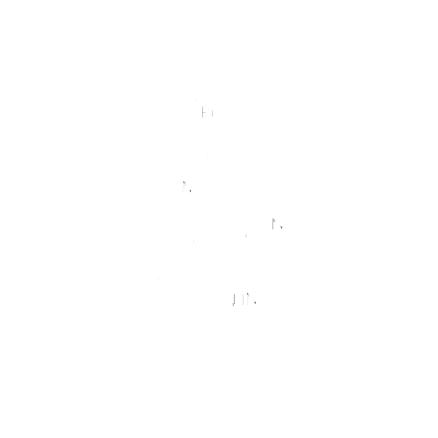 Cc1cnc([C@@H]2CCCN2C(=O)C(C)C)[nH]1